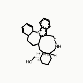 OC[C@H]1CCC[C@H]2CNCCc3c4n(c5ccccc35)C3C=CC=CC3CCC4C[C@H]12